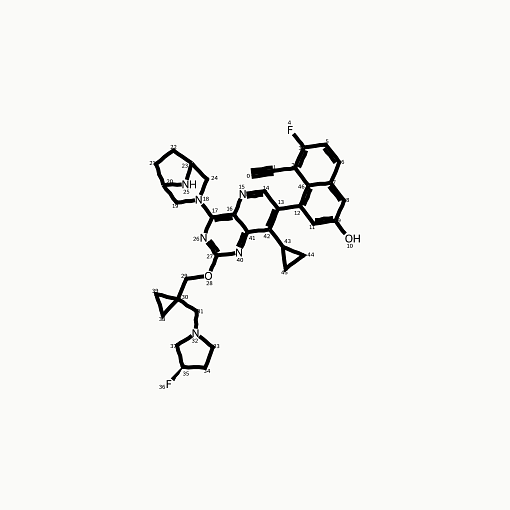 C#Cc1c(F)ccc2cc(O)cc(-c3cnc4c(N5CC6CCC(C5)N6)nc(OCC5(CN6CC[C@@H](F)C6)CC5)nc4c3C3CC3)c12